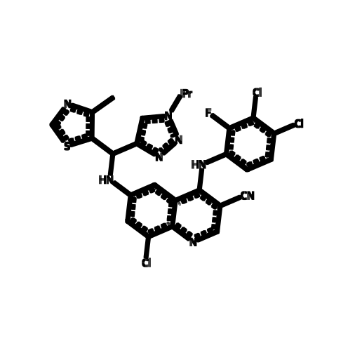 Cc1ncsc1C(Nc1cc(Cl)c2ncc(C#N)c(Nc3ccc(Cl)c(Cl)c3F)c2c1)c1cn(C(C)C)nn1